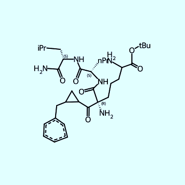 CCC[C@H](NC(=O)[C@@](N)(CCCC(N)C(=O)OC(C)(C)C)C(=O)C1CC1Cc1ccccc1)C(=O)N[C@@H](CC(C)C)C(N)=O